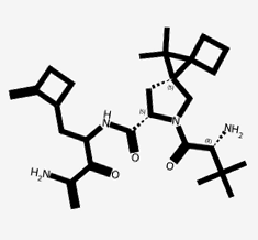 C=C(N)C(=O)C(CC1CCC1=C)NC(=O)[C@@H]1C[C@]2(CN1C(=O)[C@H](N)C(C)(C)C)C(C)(C)C21CCC1